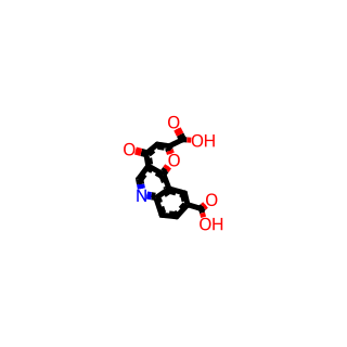 O=C(O)c1ccc2ncc3c(=O)cc(C(=O)O)oc3c2c1